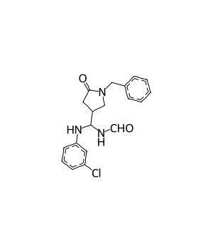 O=CNC(Nc1cccc(Cl)c1)C1CC(=O)N(Cc2ccccc2)C1